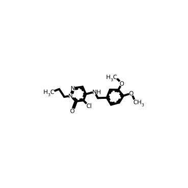 CCCn1ncc(NCc2ccc(OC)c(OC)c2)c(Cl)c1=O